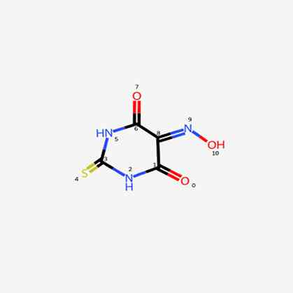 O=C1NC(=S)NC(=O)C1=NO